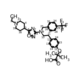 CCN1CCC(c2nc(N(CCc3ccc(OC(C)(C)C(=O)O)cc3)Cc3ccc(C(F)(F)F)cc3)no2)CC1